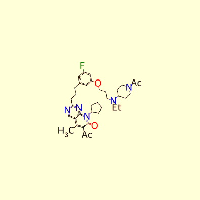 CCN(CCCOc1cc(F)cc(CCCc2ncc3c(C)c(C(C)=O)c(=O)n(C4CCCC4)c3n2)c1)C1CCN(C(C)=O)CC1